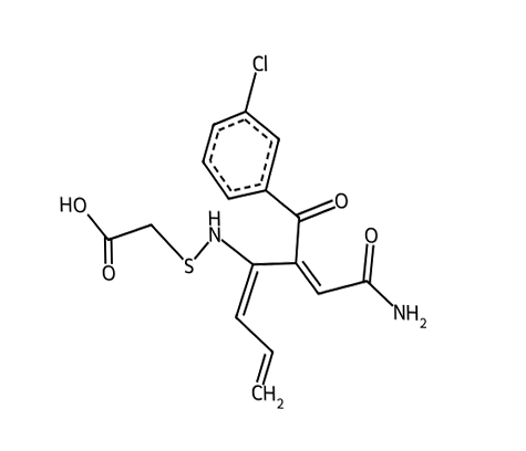 C=C/C=C(NSCC(=O)O)\C(=C\C(N)=O)C(=O)c1cccc(Cl)c1